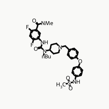 CCCCN(C(=O)Nc1cc(C(=O)NC)c(F)cc1F)C1CCN(Cc2ccc(Oc3ccc(NS(C)(=O)=O)cc3)cc2)CC1